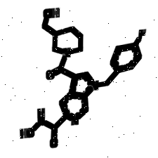 O=C(NO)c1cc2c(C(=O)N3CCCC(CO)C3)cn(Cc3ccc(F)cc3)c2cn1